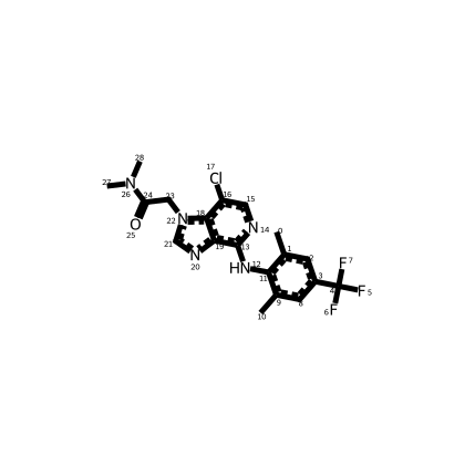 Cc1cc(C(F)(F)F)cc(C)c1Nc1ncc(Cl)c2c1ncn2CC(=O)N(C)C